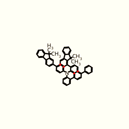 CC1(C)c2ccccc2-c2ccc(-c3ccc(N(c4ccccc4-c4ccc(-c5ccccc5)cc4)c4ccccc4-c4cccc5c4C(C)(C)c4ccccc4-5)cc3)cc21